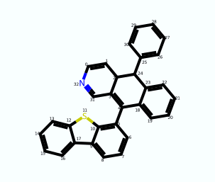 C1=CC2C(=C(c3cccc4c3sc3ccccc34)c3ccccc3C2c2ccccc2)C=N1